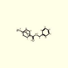 CC(C)C12CCC(C(=O)OCc3ccccc3)(CC1)OC2